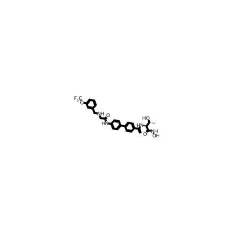 C=C(N[C@H](C(=O)NO)[C@@H](C)O)c1ccc(-c2ccc(NC(=O)CNCc3cccc(OC(F)(F)F)c3)cc2)cc1